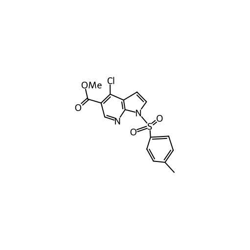 COC(=O)c1cnc2c(ccn2S(=O)(=O)c2ccc(C)cc2)c1Cl